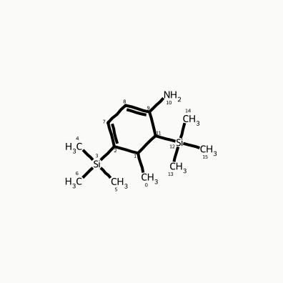 CC1C([Si](C)(C)C)=CC=C(N)C1[Si](C)(C)C